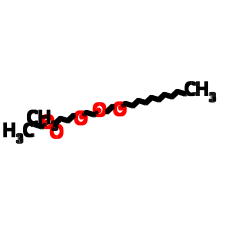 CCCCCCCCCCCOCCOCCOCCCC(=O)OCC(C)C